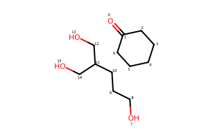 O=C1CCCCC1.OCCCC(CO)CO